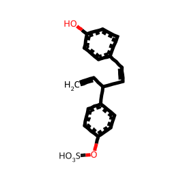 C=CC(/C=C\c1ccc(O)cc1)c1ccc(OS(=O)(=O)O)cc1